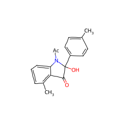 CC(=O)N1c2cccc(C)c2C(=O)C1(O)c1ccc(C)cc1